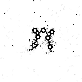 C=Cc1ccc(C(C)(C)c2ccc3c(c2)c2ccccc2n3-c2cccc(-n3c4ccccc4c4cc(C(C)(C)c5ccc(C=C)cc5)ccc43)c2)cc1